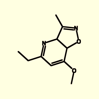 CCC1=NC2C(C)=NOC2C(OC)=C1